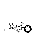 CP(C)OO[PH](C)(C)c1ccccc1